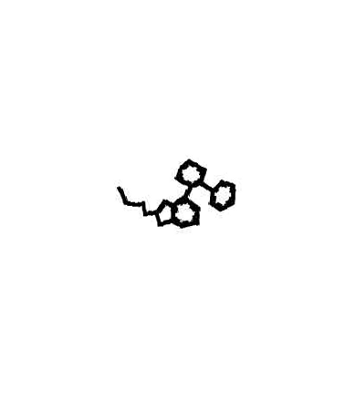 CCCCC1=Cc2c(cccc2-c2ccccc2-c2ccccc2)C1